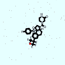 O=C1CN(C(=O)[C@@H]2CC[C@@]3(S(=O)(=O)c4ccc(F)cc4)c4ccc(C(F)(C(F)(F)F)C(F)(F)F)cc4CC[C@@H]23)CCN1